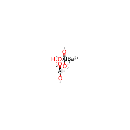 O.[Ba+2].[O]=[Al][O-].[O]=[Al][O-]